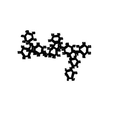 c1ccc(-c2ccc3c(c2)c2cc(-n4c5ccccc5c5cc(Sc6ccc7c(c6)c6ccccc6n7-c6ccccc6)ccc54)ccc2n3-c2ccccc2)cc1